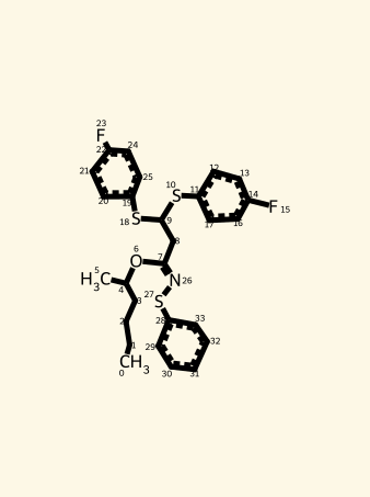 CCCCC(C)O/C(CC(Sc1ccc(F)cc1)Sc1ccc(F)cc1)=N\Sc1ccccc1